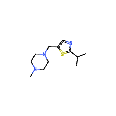 CC(C)c1ncc(CN2CCN(C)CC2)s1